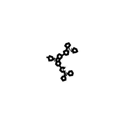 Cc1ccc(-n2c3ccc(-c4ccc(N(c5ccccc5)c5ccccc5)cc4)cc3c3cc(-c4ccc5c(c4)c4ccccc4n5-c4ccccc4)ccc32)cc1